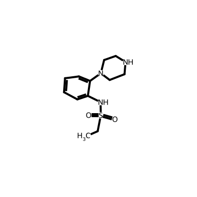 CCS(=O)(=O)Nc1ccccc1N1CCNCC1